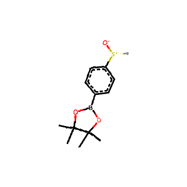 C[S@@+]([O-])c1ccc(B2OC(C)(C)C(C)(C)O2)cc1